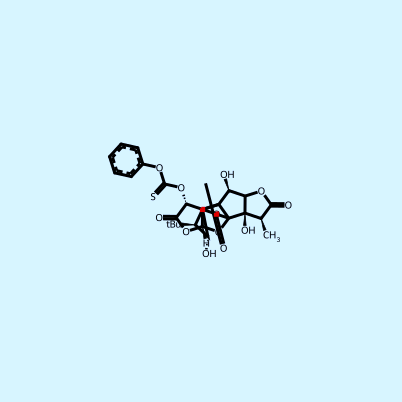 C[C@@H]1C(=O)OC2[C@H](O)C34C5OC(=O)C3(O[C@@H]3OC(=O)[C@H](OC(=S)Oc6ccccc6)C34[C@H](C(C)(C)C)[C@H]5O)[C@]21O